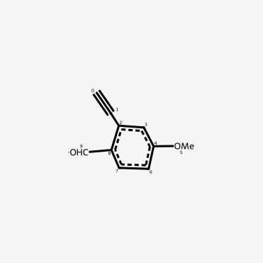 C#Cc1cc(OC)ccc1[C]=O